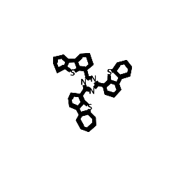 C1=CCc2sc3c(-c4nc(-c5cccc6c5sc5ccccc56)nc(-c5cccc6c5sc5ccccc56)n4)cccc3c2C=C1